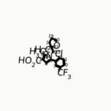 Cc1c(C(=O)O)cc(-c2cc(C(F)(F)F)ccc2Cl)n1CC1(C)CCCO1